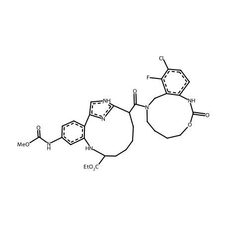 CCOC(=O)C1CCCCC(C(=O)N2CCCCOC(=O)Nc3ccc(Cl)c(F)c3C2)c2nc(c[nH]2)-c2ccc(NC(=O)OC)cc2N1